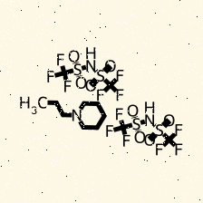 CCCN1CCCCC1.O=S(=O)(NS(=O)(=O)C(F)(F)F)C(F)(F)F.O=S(=O)(NS(=O)(=O)C(F)(F)F)C(F)(F)F